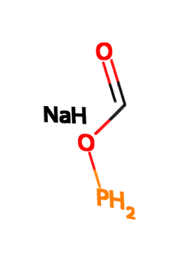 O=COP.[NaH]